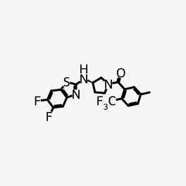 Cc1ccc(C(F)(F)F)c(C(=O)N2CC[C@@H](Nc3nc4cc(F)c(F)cc4s3)C2)c1